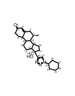 C[C@@H]1CC2=CC(=O)CCC2C2CC[C@@]3(C)C(CC[C@@]3(O)c3cn(C4CCCCC4)nn3)C21